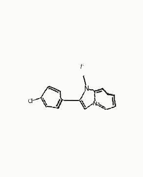 Cn1c(-c2ccc(Cl)cc2)c[n+]2ccccc12.[I-]